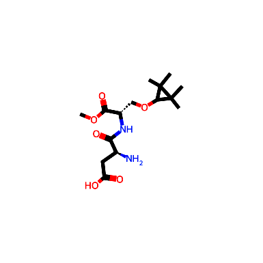 COC(=O)[C@H](COC1C(C)(C)C1(C)C)NC(=O)[C@@H](N)CC(=O)O